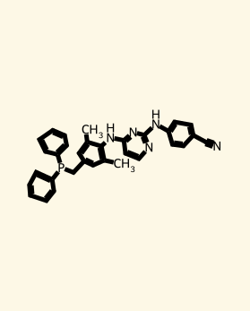 Cc1cc(CP(c2ccccc2)c2ccccc2)cc(C)c1Nc1ccnc(Nc2ccc(C#N)cc2)n1